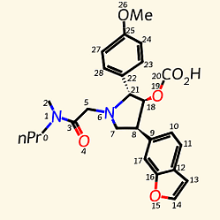 CCCN(C)C(=O)CN1C[C@H](c2ccc3ccoc3c2)[C@H](OC(=O)O)[C@H]1c1ccc(OC)cc1